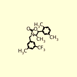 Cc1cc(CN2C(=O)OC(c3cc(C)ccc3C)[C@H]2C)cc(C(F)(F)F)c1